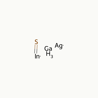 [Ag].[GaH3].[S]=[In]